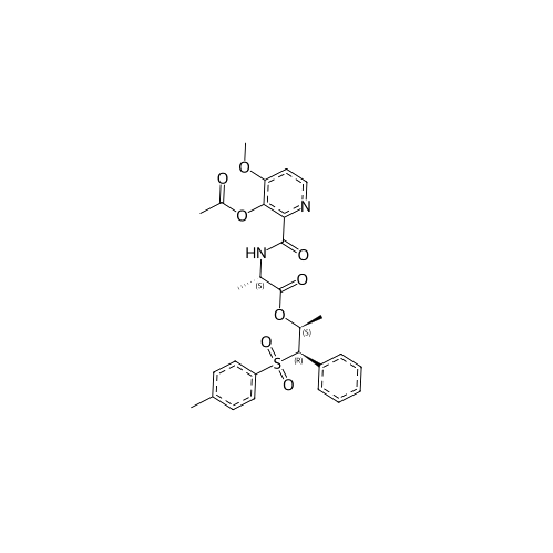 COc1ccnc(C(=O)N[C@@H](C)C(=O)O[C@@H](C)[C@@H](c2ccccc2)S(=O)(=O)c2ccc(C)cc2)c1OC(C)=O